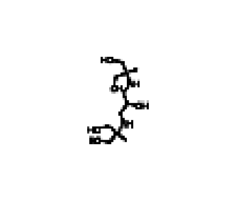 CC(CO)(CO)NCC(O)CNC(C)(CO)CO